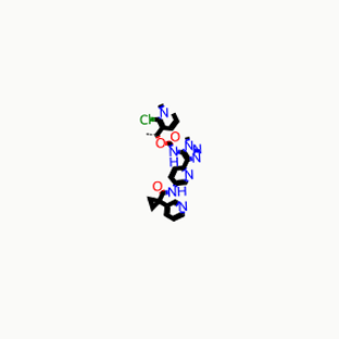 C=N/C(Cl)=C(\C=C/C)[C@@H](C)OC(=O)Nc1c(-c2ccc(NC(=O)C3(c4cccnc4)CC3)cn2)nnn1C